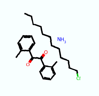 CCCCCCCCCCCCCl.Cc1ccccc1C(=O)C(=O)c1ccccc1C.N